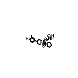 Cc1cc(C2=CCN(S(=O)(=O)N3CCCC[C@@H]3C(=O)NO)CC2)ccc1F